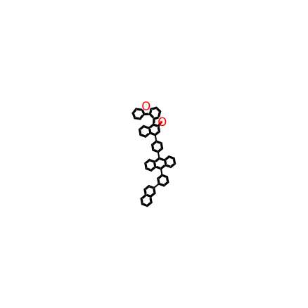 c1cc(-c2ccc3ccccc3c2)cc(-c2c3ccccc3c(-c3ccc(-c4cc5oc6ccc7oc8ccccc8c7c6c5c5ccccc45)cc3)c3ccccc23)c1